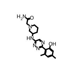 Cc1cc(C)c(-c2ncc(NC3CCCN(CC(N)=O)C3)nn2)c(O)c1